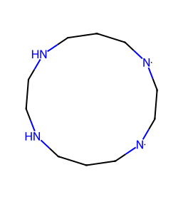 C1C[N]CC[N]CCCNCCNC1